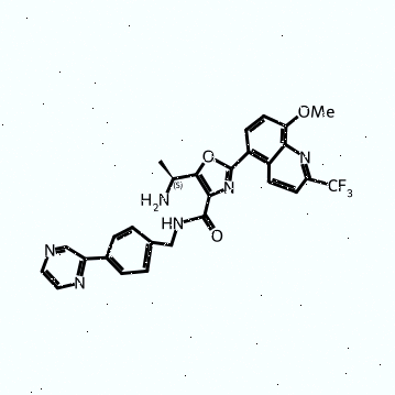 COc1ccc(-c2nc(C(=O)NCc3ccc(-c4cnccn4)cc3)c([C@H](C)N)o2)c2ccc(C(F)(F)F)nc12